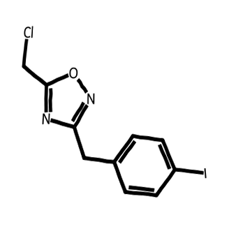 ClCc1nc(Cc2ccc(I)cc2)no1